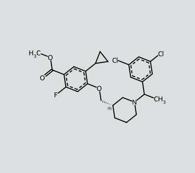 COC(=O)c1cc(C2CC2)c(OC[C@H]2CCCN(C(C)c3cc(Cl)cc(Cl)c3)C2)cc1F